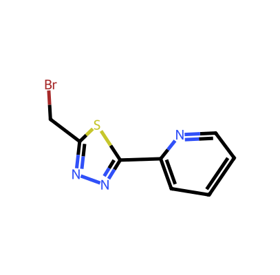 BrCc1nnc(-c2ccccn2)s1